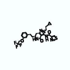 O=C(Nc1c2c(nn1CCC1CC1)C[C@H](CCc1cccc(OCC(F)(F)F)c1)NC2=O)c1cscn1